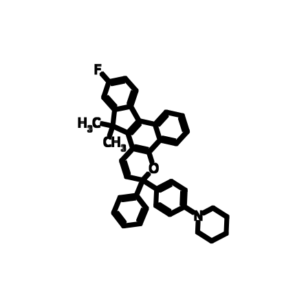 CC1(C)c2cc(F)ccc2-c2c1c1c(c3ccccc23)OC(c2ccccc2)(c2ccc(N3CCCCC3)cc2)C=C1